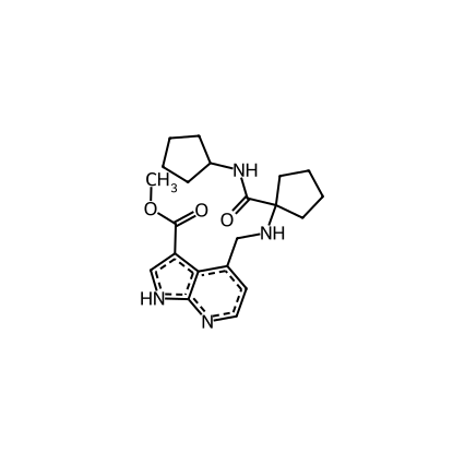 COC(=O)c1c[nH]c2nccc(CNC3(C(=O)NC4CCCC4)CCCC3)c12